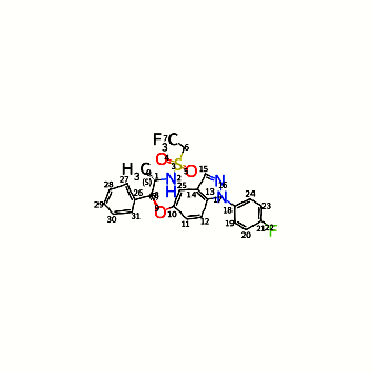 C[C@H](NS(=O)(=O)CC(F)(F)F)[C@@H](Oc1ccc2c(cnn2-c2ccc(F)cc2)c1)c1ccccc1